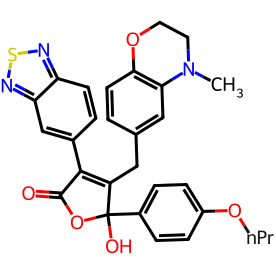 CCCOc1ccc(C2(O)OC(=O)C(c3ccc4nsnc4c3)=C2Cc2ccc3c(c2)N(C)CCO3)cc1